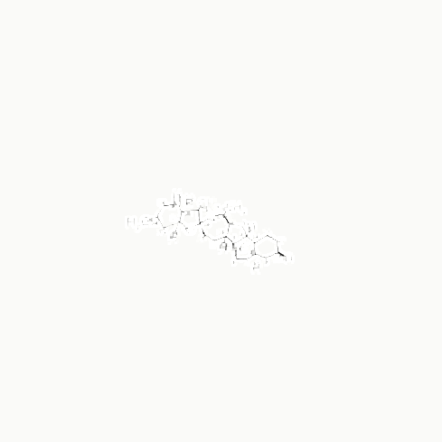 CC1=C2C[C@H]3C(CC[C@@H]4CC(=O)CC[C@@]43C)[C@@H]2CC[C@@]2(C1)O[C@@H]1C[C@H](C)CN[C@H]1[C@H]2C